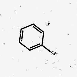 [Li].[Se]c1ccccc1